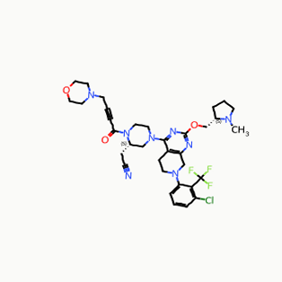 CN1CCC[C@H]1COc1nc2c(c(N3CCN(C(=O)C#CCN4CCOCC4)[C@@H](CC#N)C3)n1)CCN(c1cccc(Cl)c1C(F)(F)F)C2